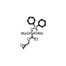 CCC(OCC1CO1)[Si](OC)(OC)O[Si](C)(c1ccccc1)c1ccccc1